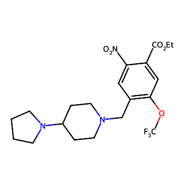 CCOC(=O)c1cc(OC(F)(F)F)c(CN2CCC(N3CCCC3)CC2)cc1[N+](=O)[O-]